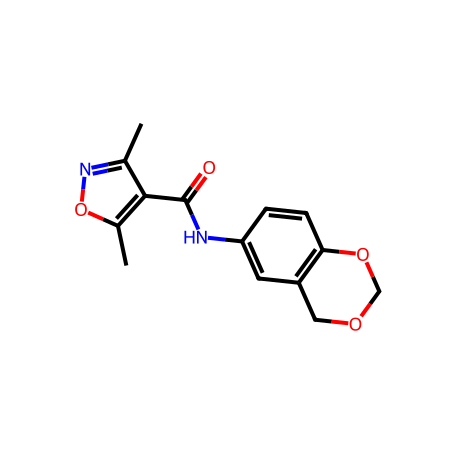 Cc1noc(C)c1C(=O)Nc1ccc2c(c1)COCO2